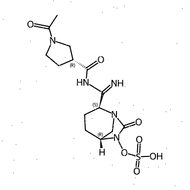 CC(=O)N1CC[C@@H](C(=O)NC(=N)[C@@H]2CC[C@@H]3CN2C(=O)N3OS(=O)(=O)O)C1